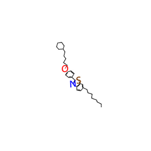 CCCCCCCCc1ccc2nc(-c3ccc(OCCCCCC4CCCCC4)cc3)sc2c1